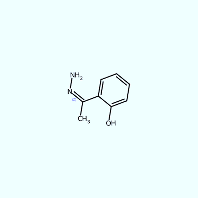 C/C(=N/N)c1ccccc1O